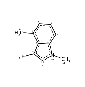 Cc1cccc2c1c(F)nn2C